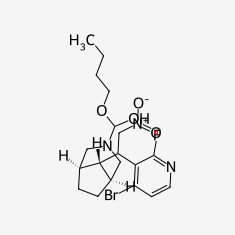 CCCCOC(O)N1C[C@H]2CC[C@@H](C1)[C@@H]2C(C[N+](=O)[O-])c1c(Br)ccnc1F